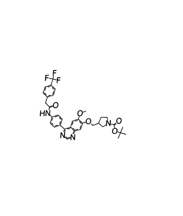 COc1cc2c(-c3ccc(NC(=O)Cc4ccc(C(F)(F)F)cc4)cc3)ncnc2cc1OCC1CCN(C(=O)OC(C)(C)C)C1